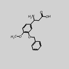 COc1ccc(C(N)CC(=O)O)cc1OCc1ccccc1